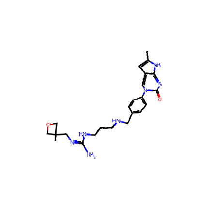 Cc1cc2cn(-c3ccc(CNCCCN/C(N)=N\CC4(C)COC4)cc3)c(=O)nc2[nH]1